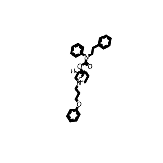 O=C(O[C@H]1C[N+]2(CCCOc3ccccc3)CCC1CC2)N(CCc1ccccc1)c1ccccc1